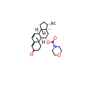 CC(=O)[C@H]1CC[C@H]2[C@@H]3C=CC4=CC(=O)CC[C@@]4(C)[C@@H]3[C@@H](OC(=O)N3CCOCC3)C[C@]12C